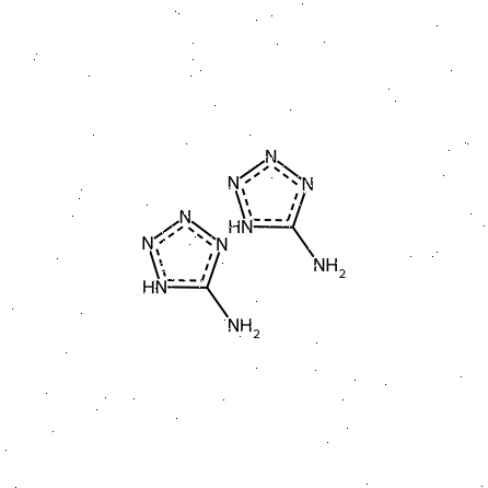 Nc1nnn[nH]1.Nc1nnn[nH]1